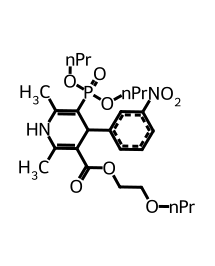 CCCOCCOC(=O)C1=C(C)NC(C)=C(P(=O)(OCCC)OCCC)C1c1cccc([N+](=O)[O-])c1